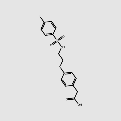 O=C(O)Cc1ccc(SCCNS(=O)(=O)c2ccc(F)cc2)cc1